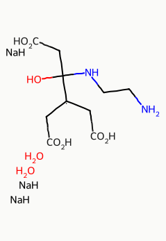 NCCNC(O)(CC(=O)O)[C](CC(=O)O)CC(=O)O.O.O.[NaH].[NaH].[NaH]